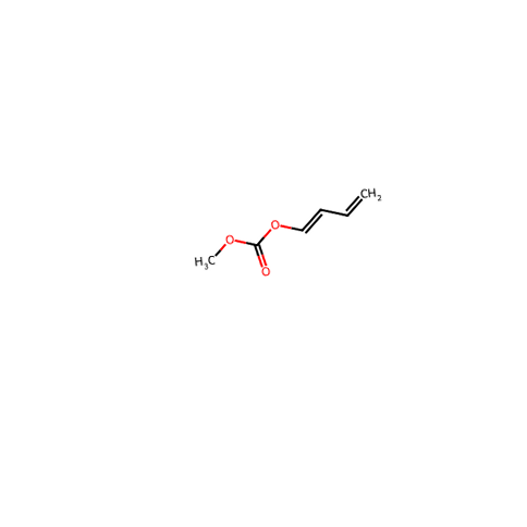 C=CC=COC(=O)OC